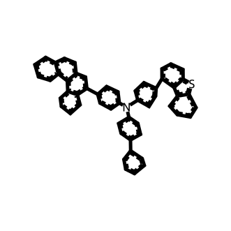 c1ccc(-c2ccc(N(c3ccc(-c4cc5ccc6ccccc6c5c5ccccc45)cc3)c3ccc(-c4cccc5sc6ccccc6c45)cc3)cc2)cc1